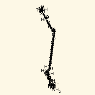 Nc1nc(O)c2nc(CNc3ccc(C(=O)N[C@@H](CCC(=O)NCCOCCOCCOCCOCCOCCOCCOCCOCc4cn(CCOCCOCCNC(=O)CCCC[C@@H]5SC[C@@H]6NC(=O)N[C@@H]65)nn4)C(=O)O)cc3)cnc2n1